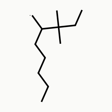 [CH2]C(CCCCC)C(C)(C)CC